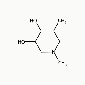 CC1CN(C)CC(O)C1O